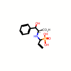 C=CC(N[C@H](C(=O)O)C(O)c1ccccc1)P(=O)(O)O